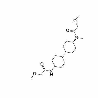 COCC(=O)NC1CC[C]([C@H]2CC[C@H](N(C)C(=O)COC)CC2)CC1